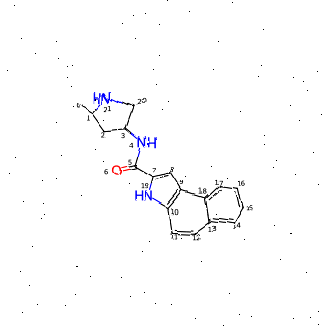 CC1CC(NC(=O)c2cc3c(ccc4ccccc43)[nH]2)CN1